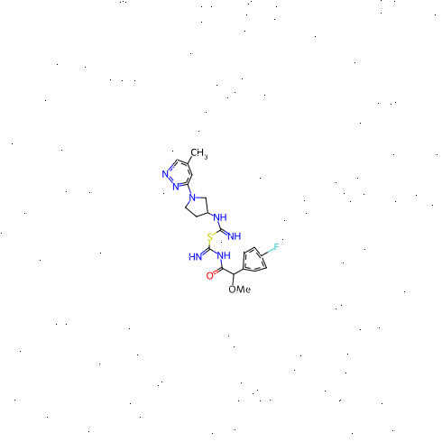 COC(C(=O)NC(=N)SC(=N)NC1CCN(c2cc(C)cnn2)C1)c1ccc(F)cc1